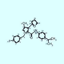 Cc1cn(Cc2ccc(F)cc2)c(C(=O)Nc2ccc(C(C)C)cc2)c1-c1ccco1